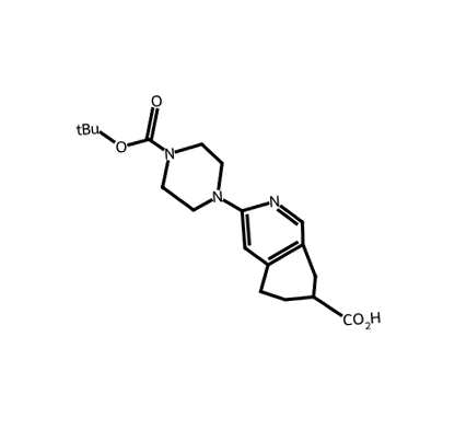 CC(C)(C)OC(=O)N1CCN(c2cc3c(cn2)CC(C(=O)O)CC3)CC1